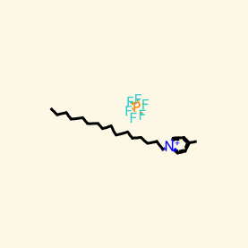 CCCCCCCCCCCCCCCC[n+]1ccc(C)cc1.F[P-](F)(F)(F)(F)F